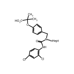 CCCCCCCN(Cc1ccc(OC(C)(C)C(=O)O)cc1)C(=O)Nc1ccc(Cl)cc1Cl